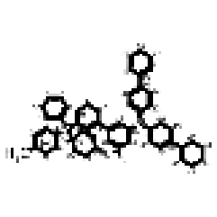 CC1C=CC([Si](C2=CC=CCC2)(C2C=C(c3cccc(N(c4ccc(C5=CCCC=C5)cc4)C4CC=C(C5CCCCC5)CC4)c3)CCC2)C2(C)CCC(C)CC2)CC1